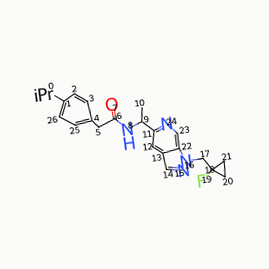 CC(C)c1ccc(CC(=O)NC(C)c2cc3cnn(CC4(F)CC4)c3cn2)cc1